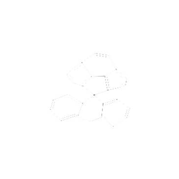 c1ccc2c(c1)Oc1ccccc1C21c2cccc3ccc4cccc1c4c23